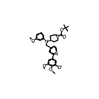 COc1cccc(N(Cc2ccnc(-c3cc(OC)c(OC)c(OC)c3)c2)C2CCN(C(=O)OC(C)(C)C)CC2)c1